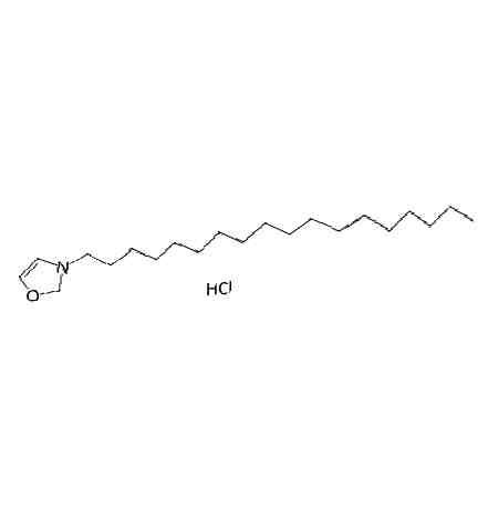 CCCCCCCCCCCCCCCCCCN1C=COC1.Cl